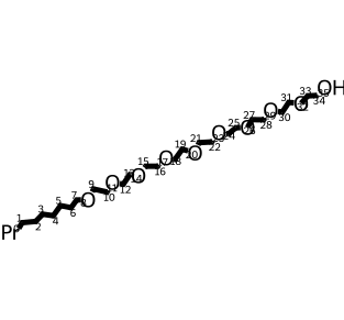 CC(C)CCCCCCCOCCOCCOCCOCCOCCOCCOCCOCCOCCO